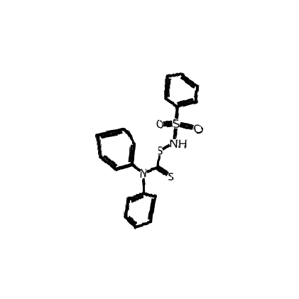 O=S(=O)(NSC(=S)N(c1ccccc1)c1ccccc1)c1ccccc1